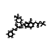 CC(C)(C)OC(=O)Cc1ccn2cc([C@@H](NC(=O)OCc3ccccc3)C3CCC(F)(F)CC3)nc2c1F